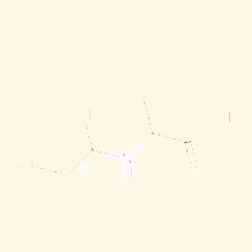 O=C(O)C(CS)N/C(Cl)=C/Cl